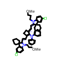 COCCCN1/C(=C/C=C2\CCC(/C=C/C3=[N+](CCCOC)c4ccc(Cl)cc4C34CCCCC4)=C2N(c2ccccc2)c2ccccc2)C2(CCCCC2)c2cc(Cl)ccc21